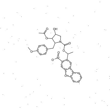 COc1ccc(CC2C(OC(C)=O)C(O)CN2C(=O)OC(C)c2cc3c(cc2[N+](=O)[O-])oc2ccccc23)cc1